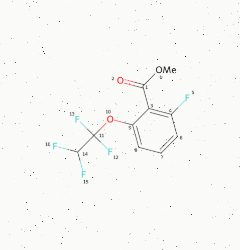 COC(=O)c1c(F)cccc1OC(F)(F)C(F)F